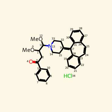 COC(CC(=O)c1ccccc1)C(OC)N1CCC(=C2c3ccccc3C=Cc3ccccc32)CC1.Cl